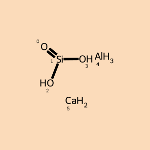 O=[Si](O)O.[AlH3].[CaH2]